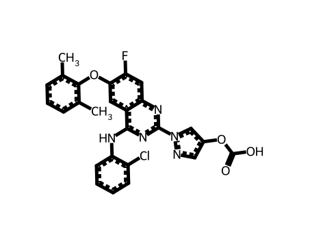 Cc1cccc(C)c1Oc1cc2c(Nc3ccccc3Cl)nc(-n3cc(OC(=O)O)cn3)nc2cc1F